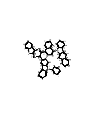 c1ccc(-n2c3ccccc3c3cc(C4Nc5sc6ccccc6c5N=C4c4ccc(-n5c6ccccc6c6cc7ccccc7cc65)c5ccccc45)ccc32)cc1